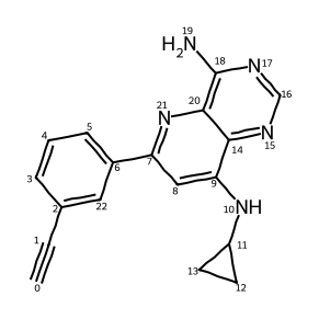 C#Cc1cccc(-c2cc(NC3CC3)c3ncnc(N)c3n2)c1